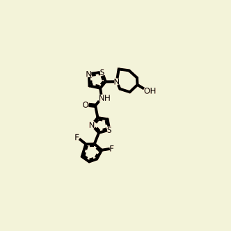 O=C(Nc1cnsc1N1CCCC(O)CC1)c1csc(-c2c(F)cccc2F)n1